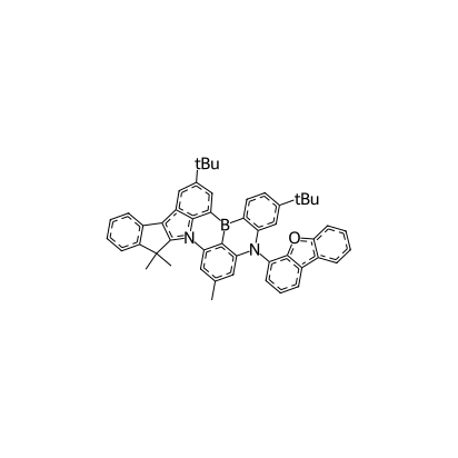 Cc1cc2c3c(c1)-n1c4c(c5cc(C(C)(C)C)cc(c51)B3c1ccc(C(C)(C)C)cc1N2c1cccc2c1oc1ccccc12)-c1ccccc1C4(C)C